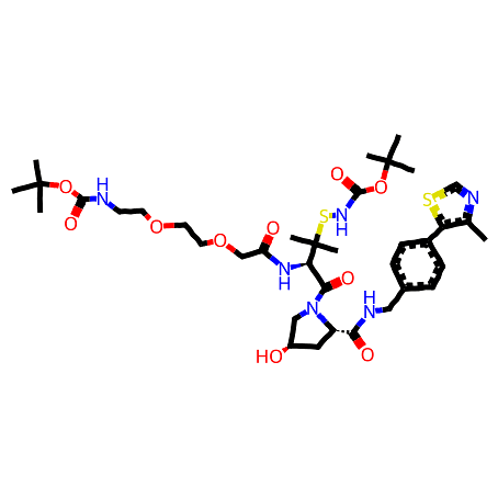 Cc1ncsc1-c1ccc(CNC(=O)[C@@H]2C[C@@H](O)CN2C(=O)[C@@H](NC(=O)COCCOCCNC(=O)OC(C)(C)C)C(C)(C)SNC(=O)OC(C)(C)C)cc1